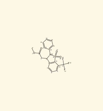 COC(=O)CC1c2cccc(C(F)(F)F)c2S(=O)(=O)N1c1ccccc1